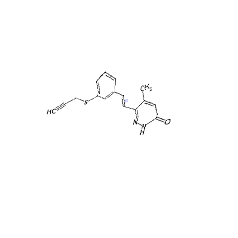 C#CCSc1cccc(/C=C/c2n[nH]c(=O)cc2C)c1